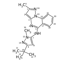 Cc1cc2nc(Nc3cc(C(C)(C)C)nn3C)c3ccccc3n2n1